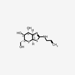 C=CCNC1=N[C@H]2[C@@H](S1)S[C@H](CO)[C@@H](O)[C@@H]2O